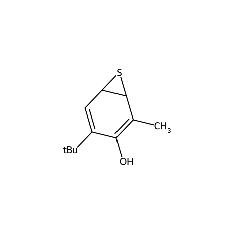 CC1=C(O)C(C(C)(C)C)=CC2SC12